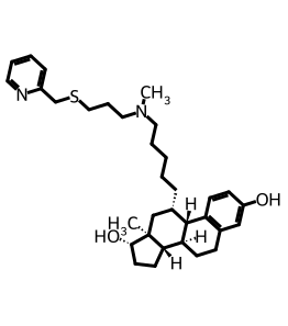 CN(CCCCC[C@H]1C[C@]2(C)[C@@H](O)CC[C@H]2[C@@H]2CCc3cc(O)ccc3[C@@H]12)CCCSCc1ccccn1